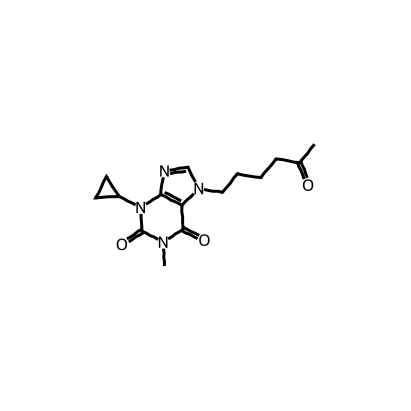 CC(=O)CCCCn1cnc2c1c(=O)n(C)c(=O)n2C1CC1